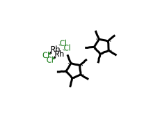 C[C]1[C](C)[C](C)[C](C)[C]1C.C[C]1[C](C)[C](C)[C](C)[C]1C.[Cl][Rh][Cl].[Cl][Rh][Cl]